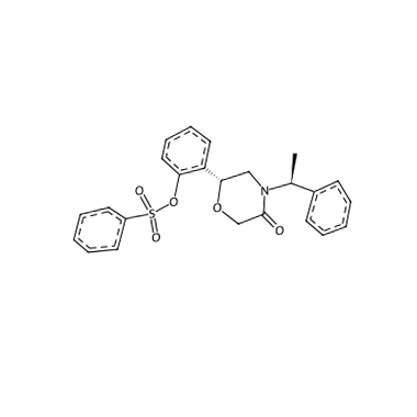 C[C@@H](c1ccccc1)N1C[C@@H](c2ccccc2OS(=O)(=O)c2ccccc2)OCC1=O